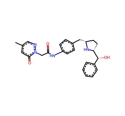 Cc1cnn(CC(=O)Nc2ccc(C[C@@H]3CC[C@H]([C@H](O)c4ccccc4)N3)cc2)c(=O)c1